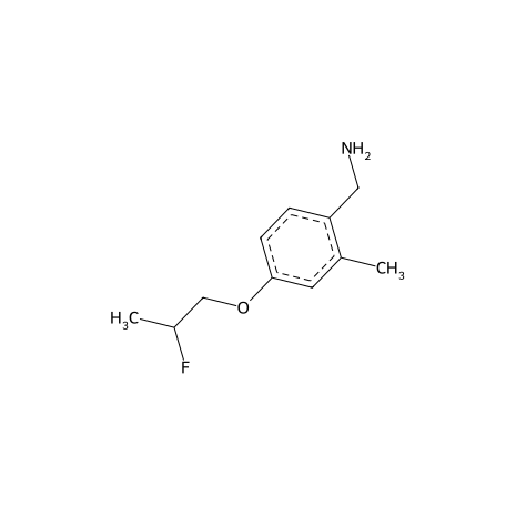 Cc1cc(OCC(C)F)ccc1CN